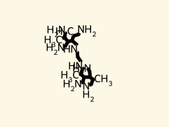 CC(CN)C(CN)C(CN)C(C)CNCCCNCC(C(C)CN)C(CN)C(C)CN